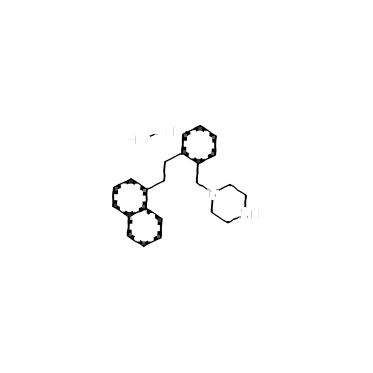 O=CO.c1ccc(CN2CCNCC2)c(CCc2cccc3ccccc23)c1